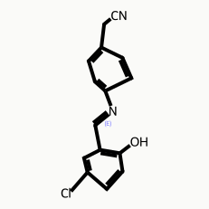 N#CCc1ccc(/N=C/c2cc(Cl)ccc2O)cc1